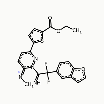 CCOC(=O)c1ccc(-c2cc/c(=N/C)n(C(=N)C(F)(F)c3ccc4occc4c3)n2)s1